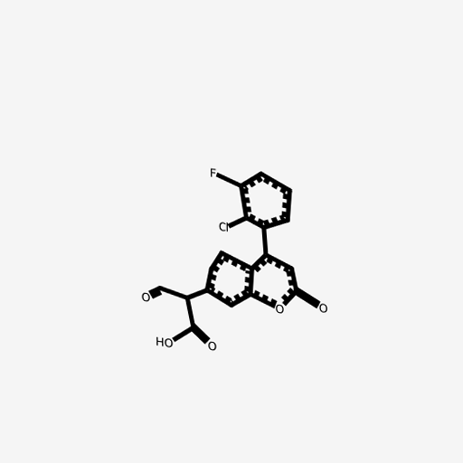 O=CC(C(=O)O)c1ccc2c(-c3cccc(F)c3Cl)cc(=O)oc2c1